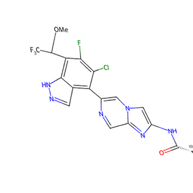 COC(c1c(F)c(Cl)c(-c2cn3cc(NC(=O)[C@@H]4C[C@@H]4F)nc3cn2)c2cn[nH]c12)C(F)(F)F